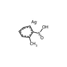 Cc1ccccc1S(=O)O.[Ag]